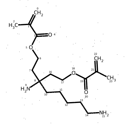 C=C(C)C(=O)OCCC(N)(CCCCCN)CCOC(=O)C(=C)C